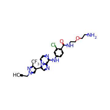 C#CCn1cc(-c2cnc3c(Nc4ccc(C(=O)NCCOCCN)c(Cl)c4)nccn23)c(C(F)(F)F)n1